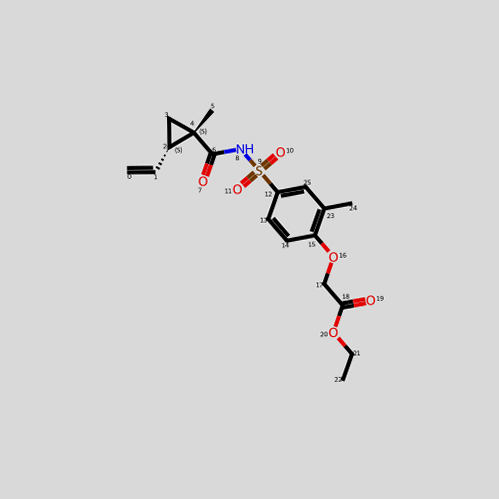 C=C[C@@H]1C[C@]1(C)C(=O)NS(=O)(=O)c1ccc(OCC(=O)OCC)c(C)c1